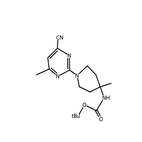 Cc1cc(C#N)nc(N2CCC(C)(NC(=O)OC(C)(C)C)CC2)n1